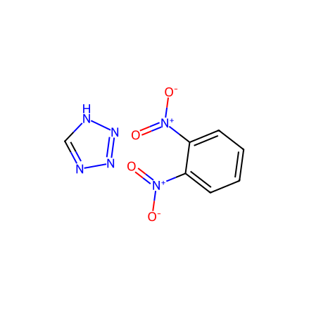 O=[N+]([O-])c1ccccc1[N+](=O)[O-].c1nnn[nH]1